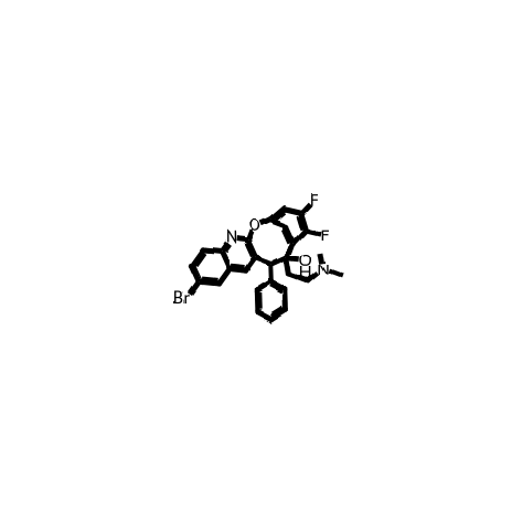 CN(C)CCC1(O)c2cc(cc(F)c2F)Oc2nc3ccc(Br)cc3cc2C1c1ccccc1